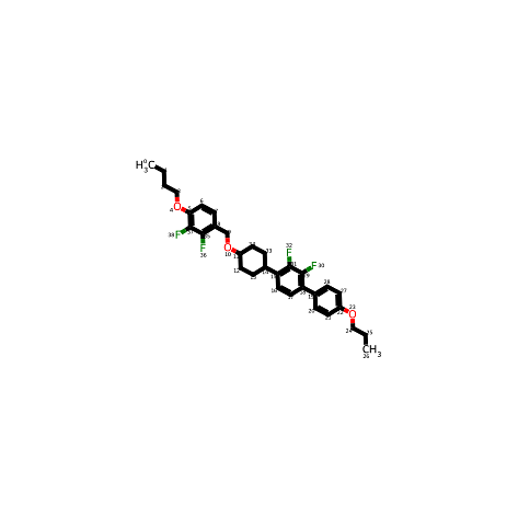 CCCCOc1ccc(COC2CCC(c3ccc(-c4ccc(OCCC)cc4)c(F)c3F)CC2)c(F)c1F